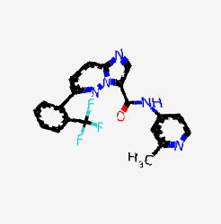 Cc1cc(NC(=O)c2cnc3ccc(-c4ccccc4C(F)(F)F)nn23)ccn1